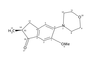 COc1cc2c(cc1N1CCOCC1)C[C@H](C)C2=O